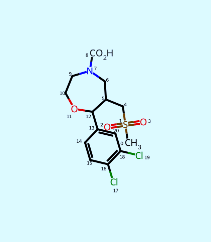 CS(=O)(=O)CC1CN(C(=O)O)CCOC1c1ccc(Cl)c(Cl)c1